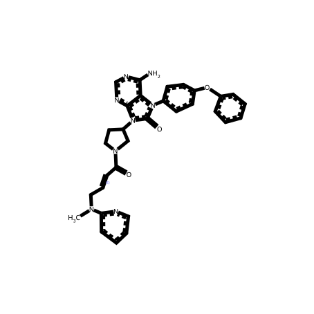 CN(C/C=C/C(=O)N1CCC(n2c(=O)n(-c3ccc(Oc4ccccc4)cc3)c3c(N)ncnc32)C1)c1ccccn1